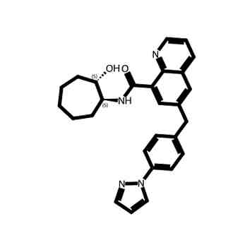 O=C(N[C@H]1CCCCC[C@@H]1O)c1cc(Cc2ccc(-n3cccn3)cc2)cc2cccnc12